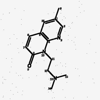 Cc1cnc2c(ccc(=O)n2CCN(C)C)c1